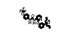 C=CCC(CC=C)(OC)c1cccc(Oc2ncccc2NC(=O)Nc2ccc(OC(F)(F)F)cc2)c1